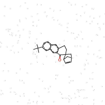 CC(C)(C)c1ccc2cc3c(cc2c1)C(=O)C1(CC3)CC2C=CC1C2